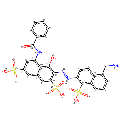 NCc1cccc2c(S(=O)(=O)O)c(N=Nc3c(S(=O)(=O)O)cc4cc(S(=O)(=O)O)cc(NC(=O)c5ccccc5)c4c3O)ccc12